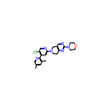 Cc1cnc(-c2cc(N3CCc4nc(N5CCOCC5)ncc4C3)ncc2Cl)c(C)c1